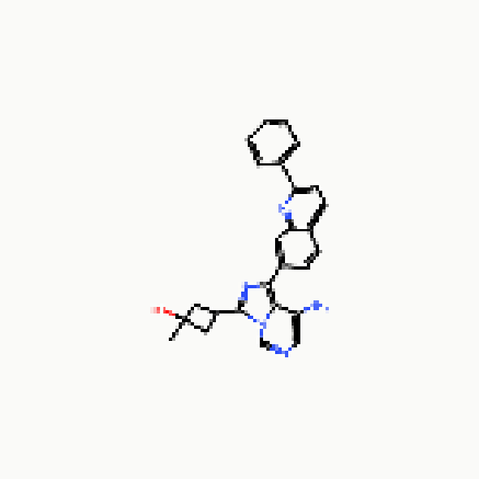 CC1(O)CC(c2nc(-c3ccc4ccc(-c5ccccc5)nc4c3)c3c(N)cncn23)C1